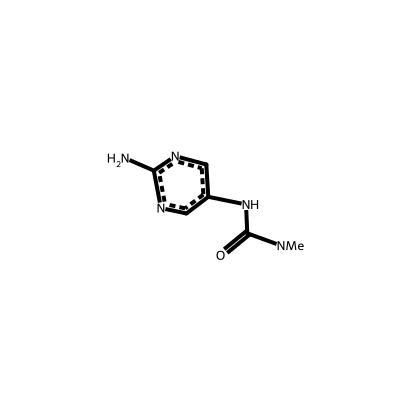 CNC(=O)Nc1cnc(N)nc1